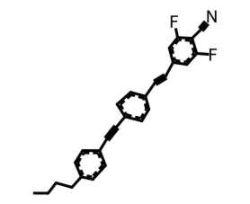 CCCCc1ccc(C#Cc2ccc(C#Cc3cc(F)c(C#N)c(F)c3)cc2)cc1